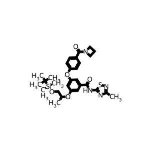 Cc1nsc(NC(=O)c2cc(Oc3ccc(C(=O)N4CCC4)cc3)cc(OC(C)CO[Si](C)(C)C(C)(C)C)c2)n1